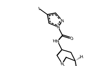 O=C(NC1C[C@H]2CCN(C1)C2)n1cc(I)cn1